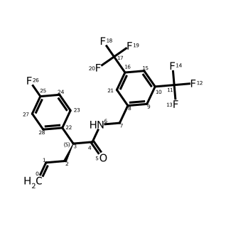 C=CC[C@H](C(=O)NCc1cc(C(F)(F)F)cc(C(F)(F)F)c1)c1ccc(F)cc1